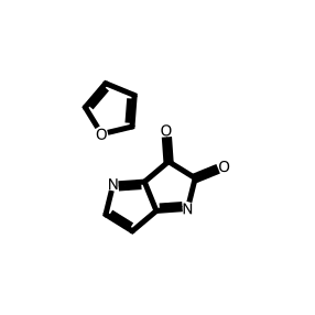 O=c1nc2ccnc-2c1=O.c1ccoc1